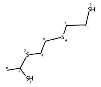 CC(S)SCCSCCS